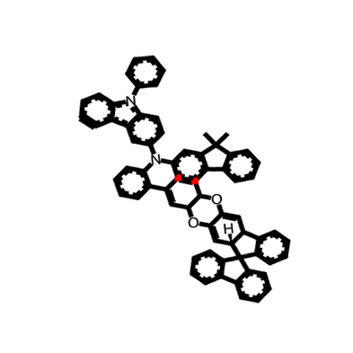 CC1(C)c2ccccc2-c2ccc(N(c3ccc4c(c3)c3c#cccc3n4-c3ccccc3)c3ccccc3C3=CC4OC5=C[C@@H]6C(C=C5OC4C=C3)c3ccccc3C63c4ccccc4-c4ccccc43)cc21